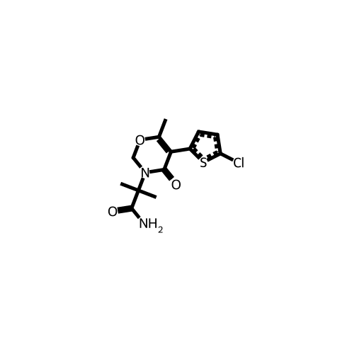 CC1=C(c2ccc(Cl)s2)C(=O)N(C(C)(C)C(N)=O)CO1